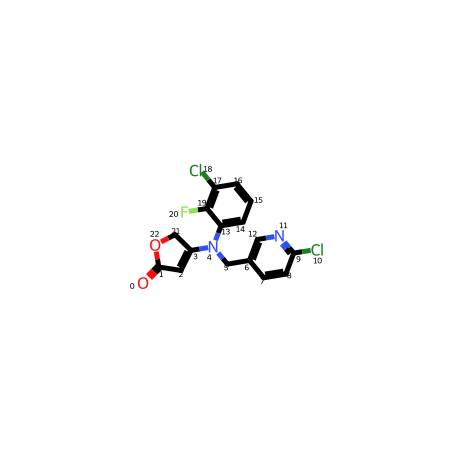 O=C1C=C(N(Cc2ccc(Cl)nc2)c2cccc(Cl)c2F)CO1